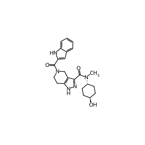 CN(C(=O)c1n[nH]c2c1CN(C(=O)c1cc3ccccc3[nH]1)CC2)[C@H]1CC[C@H](O)CC1